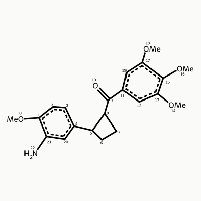 COc1ccc(C2CCC2C(=O)c2cc(OC)c(OC)c(OC)c2)cc1N